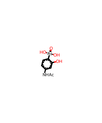 CC(=O)Nc1ccc([As](=O)(O)O)c(O)c1